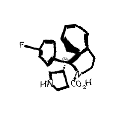 O=C(O)N1CCc2ccccc2[C@@]1(c1ccc(F)cc1)C1CCNC1